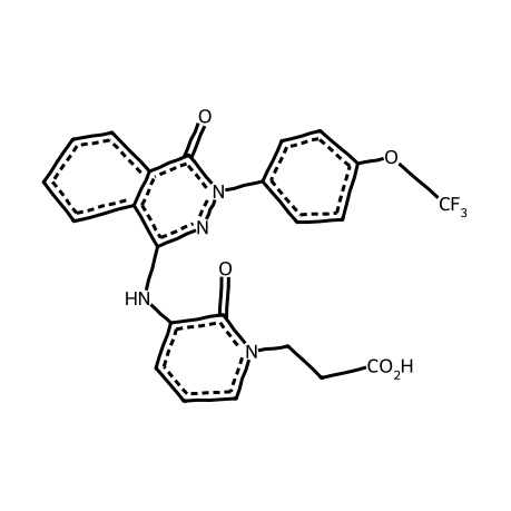 O=C(O)CCn1cccc(Nc2nn(-c3ccc(OC(F)(F)F)cc3)c(=O)c3ccccc23)c1=O